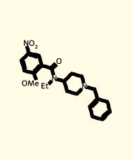 CCN(C(=O)c1cc([N+](=O)[O-])ccc1OC)C1CCN(CC2=CCC=CC2)CC1